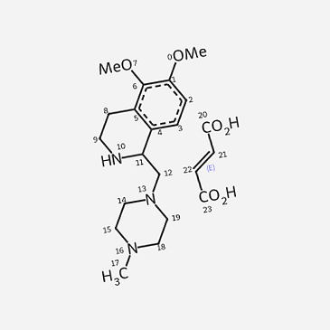 COc1ccc2c(c1OC)CCNC2CN1CCN(C)CC1.O=C(O)/C=C/C(=O)O